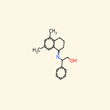 Cc1cc(C)c2c(c1)C(=NC(CO)c1ccccc1)CCC2